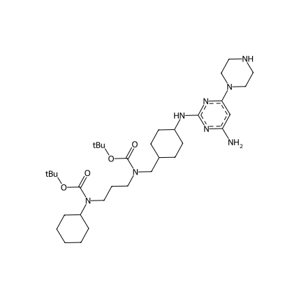 CC(C)(C)OC(=O)N(CCCN(C(=O)OC(C)(C)C)C1CCCCC1)CC1CCC(Nc2nc(N)cc(N3CCNCC3)n2)CC1